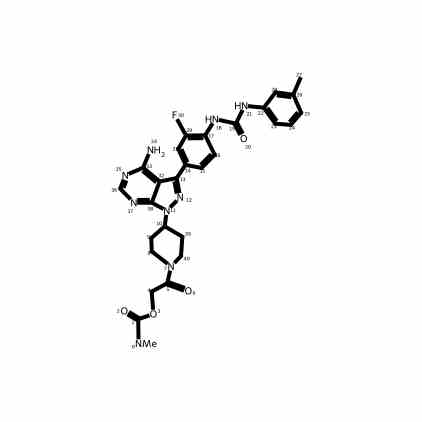 CNC(=O)OCC(=O)N1CCC(n2nc(-c3ccc(NC(=O)Nc4cccc(C)c4)c(F)c3)c3c(N)ncnc32)CC1